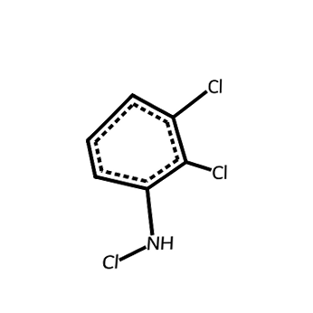 ClNc1cccc(Cl)c1Cl